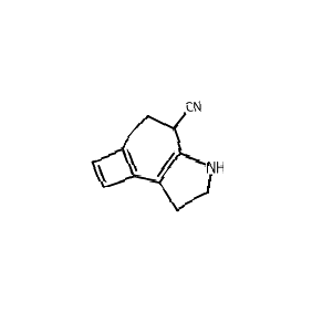 N#CC1CC2=C(C=C2)C2=C1NCC2